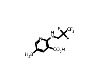 Bc1cnc(NCC(F)(F)C(F)(F)F)c(C(=O)O)c1